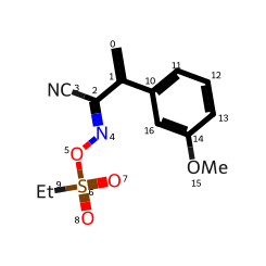 C=C(C(C#N)=NOS(=O)(=O)CC)c1cccc(OC)c1